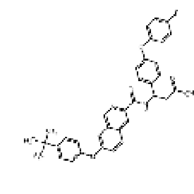 CC(C)(C)c1ccc(Oc2ccc3cc(C(=O)NC(CC(=O)O)c4ccc(Oc5ccc(F)cc5)cc4)ncc3c2)cc1